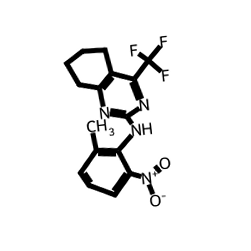 Cc1cccc([N+](=O)[O-])c1Nc1nc2c(c(C(F)(F)F)n1)CCCC2